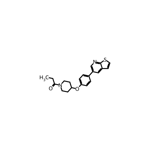 CCC(=O)N1CCC(Oc2ccc(-c3cnc4sccc4c3)cc2)CC1